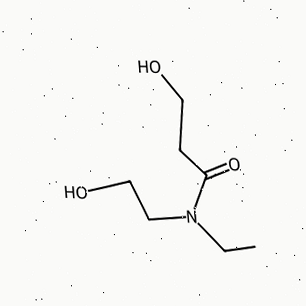 CCN(CCO)C(=O)CCO